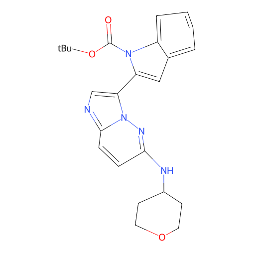 CC(C)(C)OC(=O)n1c(-c2cnc3ccc(NC4CCOCC4)nn23)cc2ccccc21